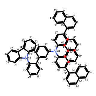 c1ccc(-c2cc(-c3cccc4ccccc34)ccc2N(c2cccc(-c3ccccc3-n3c4ccccc4c4ccccc43)c2)c2ccc(-c3cccc4ccccc34)cc2-c2ccccc2)cc1